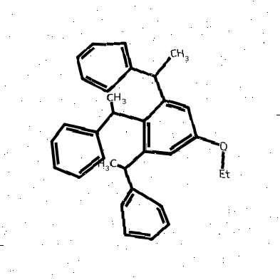 CCOc1cc(C(C)c2ccccc2)c(C(C)c2ccccc2)c(C(C)c2ccccc2)c1